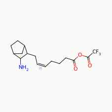 NC1C2CCC(C2)C1C/C=C\CCCC(=O)OC(=O)C(F)(F)F